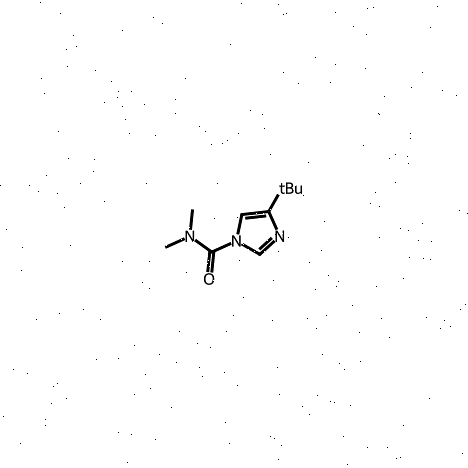 CN(C)C(=O)n1cnc(C(C)(C)C)c1